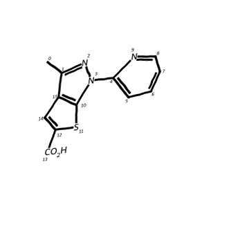 Cc1nn(-c2ccccn2)c2sc(C(=O)O)cc12